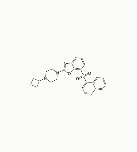 O=S(=O)(c1cccc2ccccc12)c1cccc2nc(N3CCN(C4CCC4)CC3)oc12